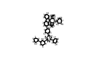 c1ccc(-c2cccc(-c3nc(-c4ccccc4)nc(-c4ccc(-c5ccc6c(c5)C5(c7ccccc7-6)c6ccccc6N(c6ccccc6)c6ccccc65)cc4)n3)c2)cc1